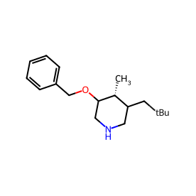 C[C@@H]1C(CC(C)(C)C)CNCC1OCc1ccccc1